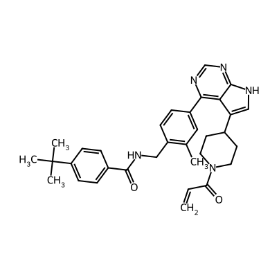 C=CC(=O)N1CCC(c2c[nH]c3ncnc(-c4ccc(CNC(=O)c5ccc(C(C)(C)C)cc5)c(C)c4)c23)CC1